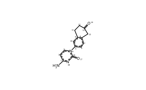 Nc1ccn(-c2ccc3c(c2)CCC(=O)C3)c(=O)n1